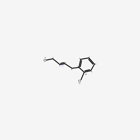 ClC/C=C/Cc1ccccc1Cl